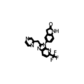 O=C1Cc2cc(-n3c(Cc4cnccn4)nc4ccc(C(F)(F)F)nc43)ccc2N1